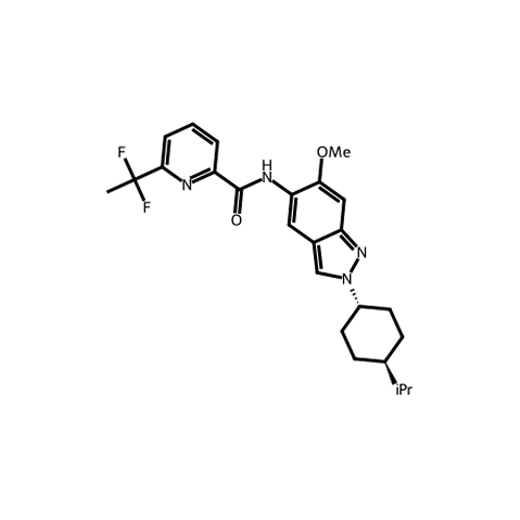 COc1cc2nn([C@H]3CC[C@H](C(C)C)CC3)cc2cc1NC(=O)c1cccc(C(C)(F)F)n1